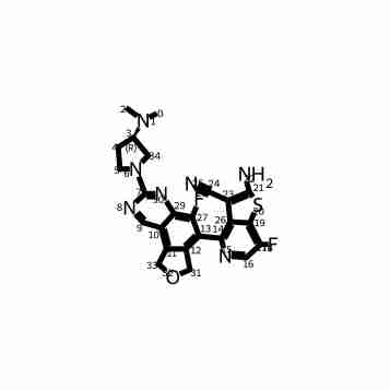 CN(C)[C@@H]1CCN(c2ncc3c4c(c(-c5ncc(F)c6sc(N)c(C#N)c56)c(F)c3n2)COC4)C1